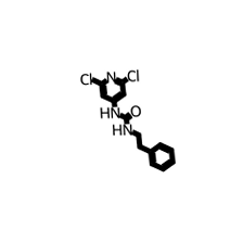 O=C(NCCc1ccccc1)Nc1cc(Cl)nc(Cl)c1